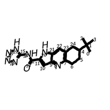 CC(C)(C)C1CCc2nc3cc(C(=O)Nc4nnn[nH]4)[nH]c3cc2C1